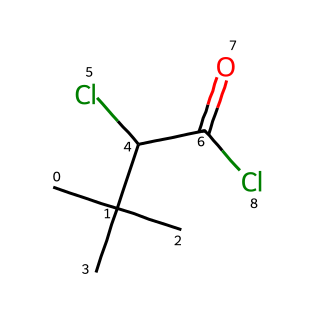 CC(C)(C)C(Cl)C(=O)Cl